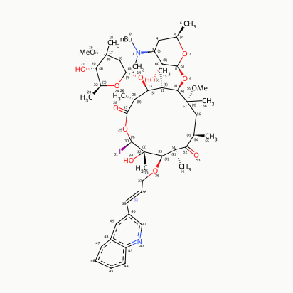 CCCCN(C)[C@H]1C[C@@H](C)O[C@@H](O[C@@H]2[C@@H](C)[C@H](O[C@H]3C[C@@](C)(OC)[C@@H](O)[C@H](C)O3)[C@@H](C)C(=O)O[C@H](I)[C@@](C)(O)[C@H](OC/C=C/c3cnc4ccccc4c3)[C@@H](C)C(=O)[C@H](C)C[C@@]2(C)OC)[C@@H]1O